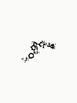 Cn1cc(CNc2ncc(-c3cnc4ccc(N[C@H]5CC[C@H](N)CC5)nn34)cn2)cn1